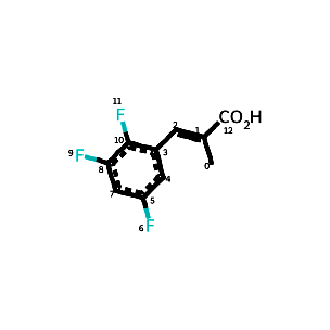 CC(=Cc1cc(F)cc(F)c1F)C(=O)O